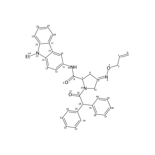 C=CCO/N=C1\CC(C(=O)Nc2ccc3c(c2)c2ccccc2n3CC)N(C(=O)C(c2ccccc2)c2ccccc2)C1